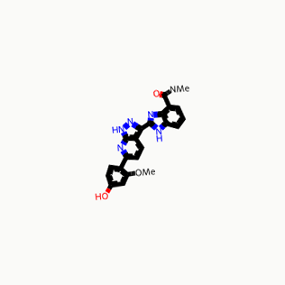 CNC(=O)c1cccc2[nH]c(-c3n[nH]c4nc(-c5ccc(O)cc5OC)ccc34)nc12